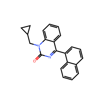 O=c1nc(-c2cccc3ccccc23)c2ccccc2n1CC1CC1